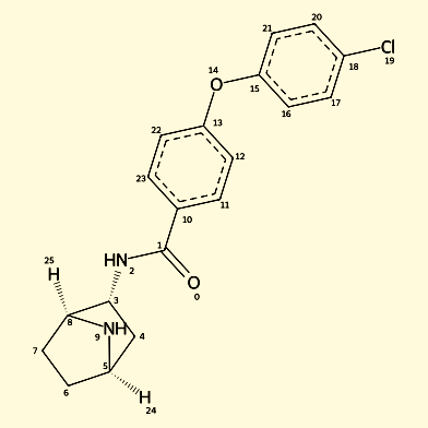 O=C(N[C@@H]1C[C@H]2CC[C@@H]1N2)c1ccc(Oc2ccc(Cl)cc2)cc1